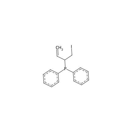 C=CC(CI)P(c1ccccc1)c1ccccc1